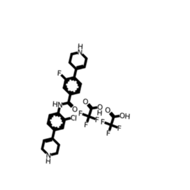 O=C(Nc1ccc(C2=CCNCC2)cc1Cl)c1ccc(C2=CCNCC2)c(F)c1.O=C(O)C(F)(F)F.O=C(O)C(F)(F)F